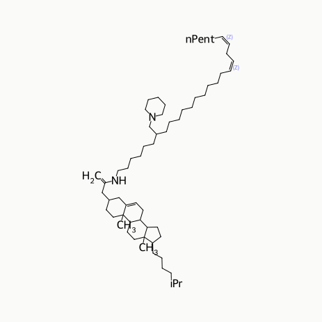 C=C(CC1CCC2(C)C(=CCC3C2CCC2(C)C(CCCCC(C)C)CCC32)C1)NCCCCCCC(CCCCCCCCCC/C=C\C/C=C\CCCCC)CN1CCCCC1